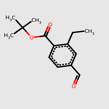 CCc1cc(C=O)ccc1C(=O)OC(C)(C)C